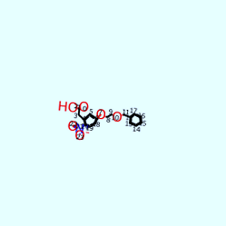 O=C(O)Cc1cc(OCCOCc2ccccc2)ccc1[N+](=O)[O-]